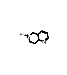 CC(C)N1CCC2N=CC=CC2C1